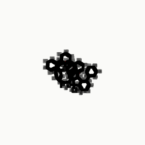 CC1(C)c2cc(N(c3cc4ccc3CCc3ccc(cc3)CC4)c3c(-c4ccccc4)cccc3-c3ccccc3)ccc2-c2c(-c3ccccc3)cccc21